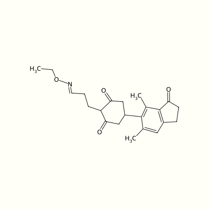 CCON=CCCC1C(=O)CC(c2c(C)cc3c(c2C)C(=O)CC3)CC1=O